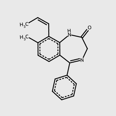 C/C=C\c1c(C)ccc2c1NC(=O)CN=C2c1ccccc1